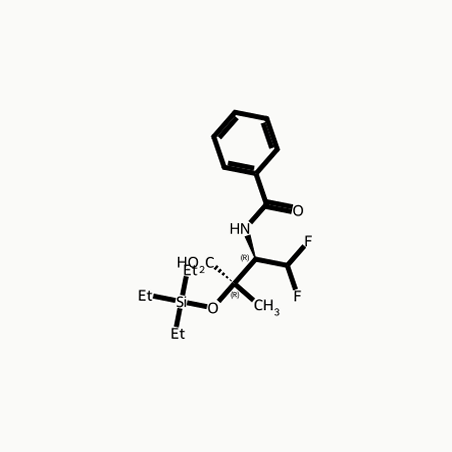 CC[Si](CC)(CC)O[C@@](C)(C(=O)O)[C@@H](NC(=O)c1ccccc1)C(F)F